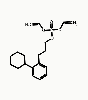 C=COP(=O)(OC=C)OCCCc1ccccc1C1CCCCC1